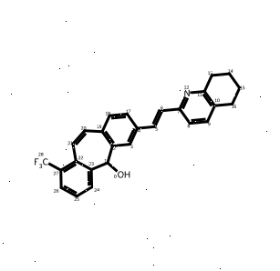 OC1c2cc(/C=C/c3ccc4c(n3)CCCC4)ccc2C=Cc2c1cccc2C(F)(F)F